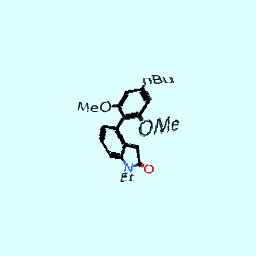 CCCCc1cc(OC)c(-c2cccc3c2CC(=O)N3CC)c(OC)c1